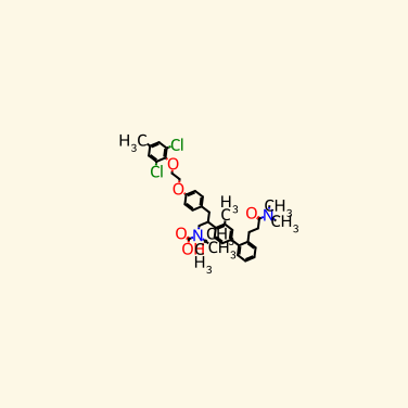 Cc1cc(Cl)c(OCCOc2ccc(CC(CN(C(=O)O)C(C)(C)C)c3ccc(-c4ccccc4CCC(=O)N(C)C)cc3C)cc2)c(Cl)c1